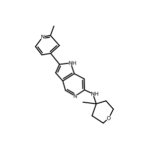 Cc1cc(-c2cc3cnc(NC4(C)CCOCC4)cc3[nH]2)ccn1